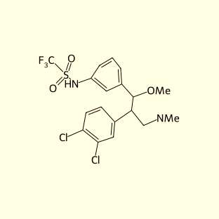 CNCC(c1ccc(Cl)c(Cl)c1)C(OC)c1cccc(NS(=O)(=O)C(F)(F)F)c1